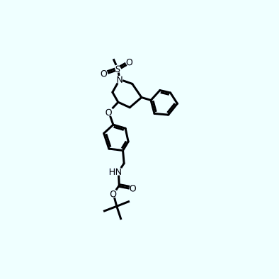 CC(C)(C)OC(=O)NCc1ccc(OC2CC(c3ccccc3)CN(S(C)(=O)=O)C2)cc1